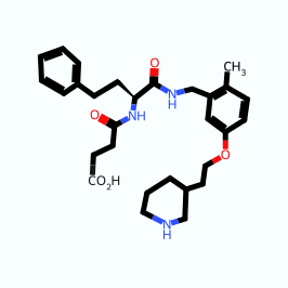 Cc1ccc(OCCC2CCCNC2)cc1CNC(=O)[C@H](CCc1ccccc1)NC(=O)CCC(=O)O